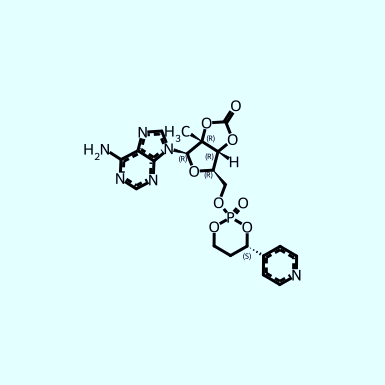 C[C@@]12OC(=O)O[C@@H]1[C@@H](COP1(=O)OCC[C@@H](c3ccncc3)O1)O[C@H]2n1cnc2c(N)ncnc21